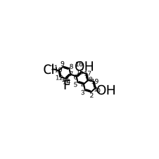 Oc1ccc2cc(-c3ccc(Cl)cc3F)c(O)cc2c1